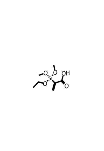 C=C(C(=O)O)[Si](OC)(OC)OCC